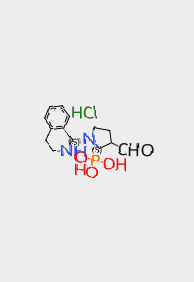 Cl.O=CC1CCN([C@@H]2NCCc3ccccc32)[C@H]1P(=O)(O)O